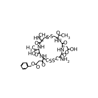 CN[C@H]1CSSC[C@@H](C(C)=O)NC(=O)[C@H](CC(=O)O)NC(=O)[C@@H](N)CSSC[C@@H](C(=O)CC(=O)OCc2ccccc2)NC(=O)C([C@@H](C)O)NC1=O